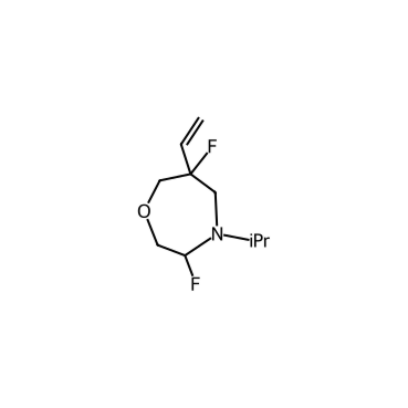 C=CC1(F)COCC(F)N(C(C)C)C1